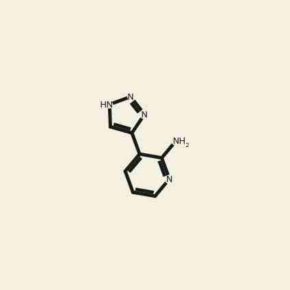 Nc1ncccc1-c1c[nH]nn1